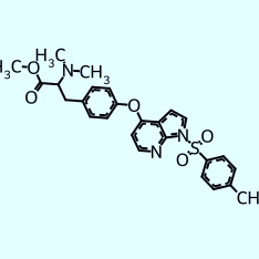 COC(=O)C(Cc1ccc(Oc2ccnc3c2ccn3S(=O)(=O)c2ccc(C)cc2)cc1)N(C)C